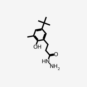 Cc1cc(C(C)(C)C)cc(CCC(=O)NN)c1O